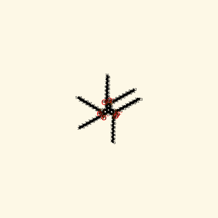 CCCCCCCCCCCCCC[S+]([O-])c1cc2c3cc([S+]([O-])CCCCCCCCCCCCCC)c([S+]([O-])CCCCCCCCCCCCCC)cc3c3cc([S+]([O-])CCCCCCCCCCCCCC)c([S+]([O-])CCCCCCCCCCCCCC)cc3c2cc1[S+]([O-])CCCCCCCCCCCCCC